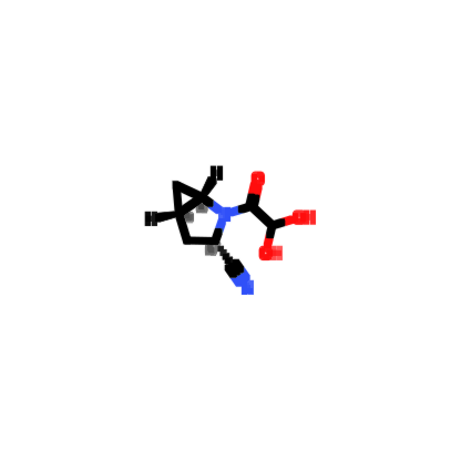 N#C[C@@H]1C[C@@H]2C[C@@H]2N1C(=O)C(O)O